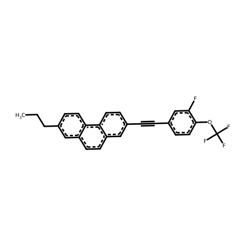 CCCc1ccc2c(ccc3cc(C#Cc4ccc(OC(F)(F)F)c(F)c4)ccc32)c1